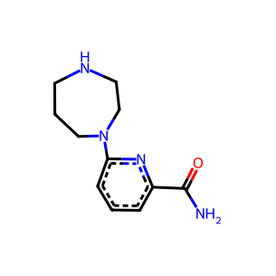 NC(=O)c1cccc(N2CCCNCC2)n1